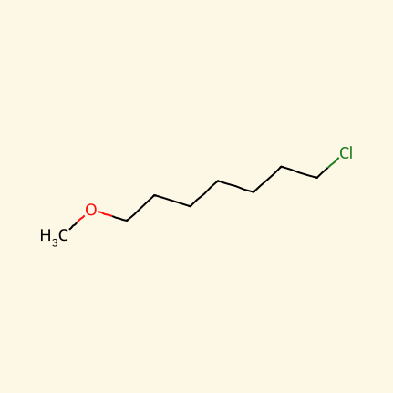 COCCCCCCCCl